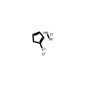 CC(C)[NH-].[Cl-].[Cl-].[V+3][C]1=CC=CC1